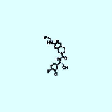 CC(C)CNc1ncc2c(n1)CN(C(=O)N[C@H](CO)c1ccc(F)c(Cl)c1)CC2